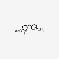 CC(=O)O[C@H]1CCN(CC2CCN(C)CC2)C[C@@H]1F